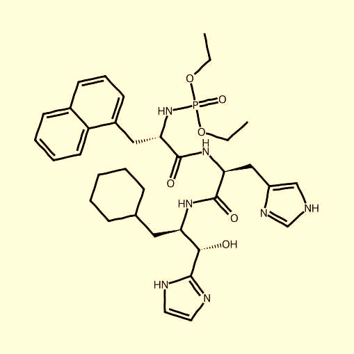 CCOP(=O)(N[C@@H](Cc1cccc2ccccc12)C(=O)N[C@@H](Cc1c[nH]cn1)C(=O)N[C@H](CC1CCCCC1)[C@H](O)c1ncc[nH]1)OCC